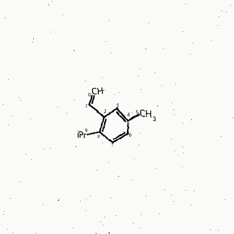 [CH]=Cc1cc(C)ccc1C(C)C